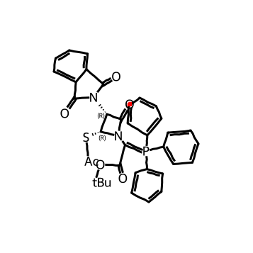 CC(=O)S[C@@H]1[C@H](N2C(=O)c3ccccc3C2=O)C(=O)N1C(C(=O)OC(C)(C)C)=P(c1ccccc1)(c1ccccc1)c1ccccc1